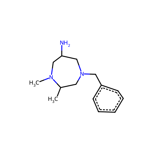 CC1CN(Cc2ccccc2)CC(N)CN1C